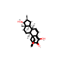 C=C=CC12CCC(=O)C(O)=C1C=C[C@@H]1[C@@H]2CC[C@]2(C)[C@@H](O)[C@@H](C)C[C@@H]12